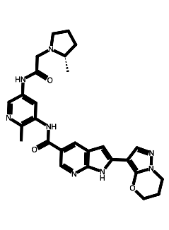 Cc1ncc(NC(=O)CN2CCC[C@@H]2C)cc1NC(=O)c1cnc2[nH]c(-c3cnn4c3OCCC4)cc2c1